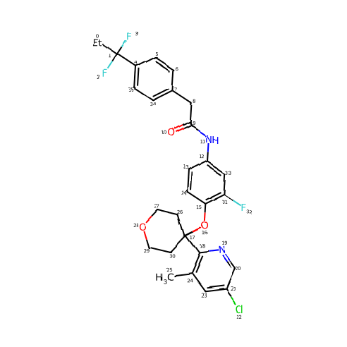 CCC(F)(F)c1ccc(CC(=O)Nc2ccc(OC3(c4ncc(Cl)cc4C)CCOCC3)c(F)c2)cc1